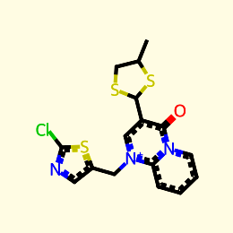 CC1CSC(c2c[n+](Cc3cnc(Cl)s3)c3ccccn3c2=O)S1